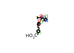 O=C(O)Cc1ccc(C=CC23CCC(OCc4c(-c5c(Cl)cncc5Cl)noc4C4CC4)(CC2)CC3)cc1F